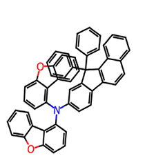 c1ccc(C2(c3ccccc3)c3cc(N(c4cccc5oc6ccccc6c45)c4cccc5oc6ccccc6c45)ccc3-c3ccc4ccccc4c32)cc1